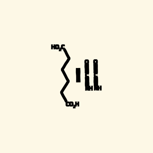 C=C.N=C=O.N=C=O.O=C(O)CCCCC(=O)O